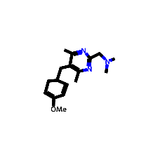 COC1=CCC(Cc2c(C)nc(CN(C)C)nc2C)C=C1